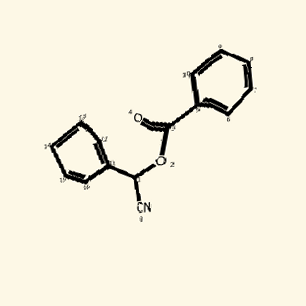 N#CC(OC(=O)c1ccccc1)c1ccccc1